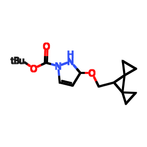 CC(C)(C)OC(=O)N1C=CC(OCC2C3(CC3)C23CC3)N1